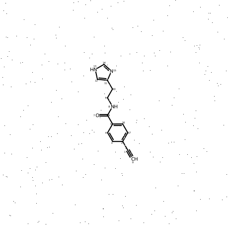 C#Cc1ccc(C(=O)NCCc2c[nH]cn2)cc1